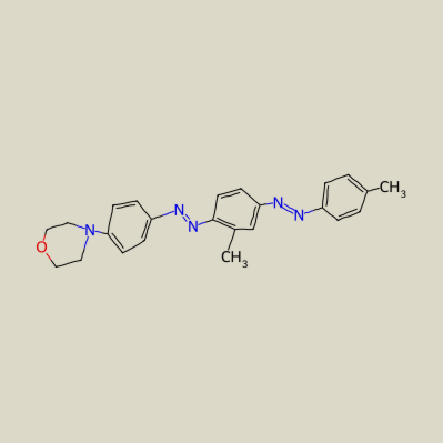 Cc1ccc(/N=N/c2ccc(/N=N/c3ccc(N4CCOCC4)cc3)c(C)c2)cc1